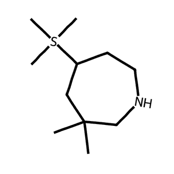 CC1(C)CNCCC(S(C)(C)C)C1